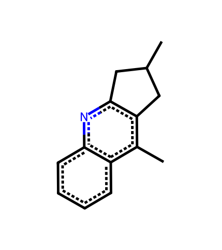 Cc1c2c(nc3ccccc13)CC(C)C2